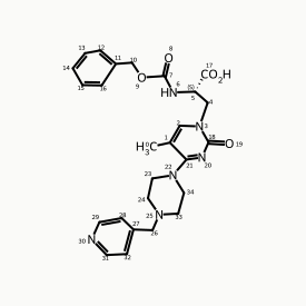 Cc1cn(C[C@H](NC(=O)OCc2ccccc2)C(=O)O)c(=O)nc1N1CCN(Cc2ccncc2)CC1